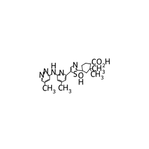 Cc1cnnc(Nc2cc(C)cc(-c3cnc([C@@]4(O)CC[C@H](C(=O)O)C(C)(C)C4)s3)n2)c1